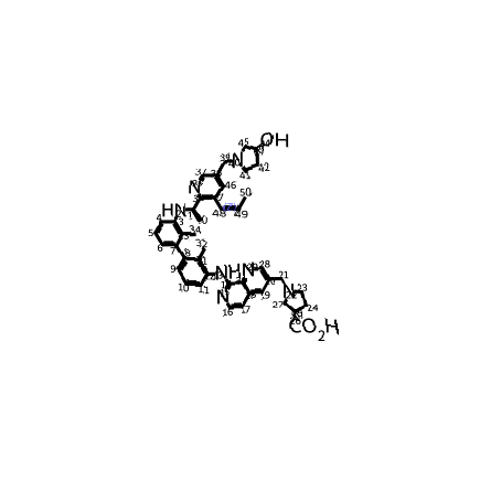 C=C(Nc1cccc(-c2cccc(Nc3nccc4cc(CN5CC[C@@H](C(=O)O)C5)cnc34)c2C)c1C)c1ncc(CN2CC[C@@H](O)C2)cc1/C=C\C